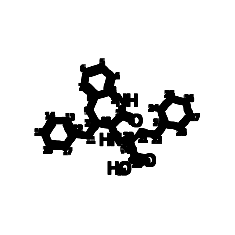 O=C1Nc2ccccc2CC(Cc2ccccc2)C1N[C@@H](CCC1CCCCC1)C(=O)O